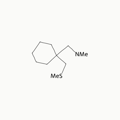 CNCC1(CSC)CCCCC1